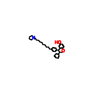 Oc1ccc2c(c1)[C@H](c1ccc(CCCCCCCCCCN3CCCC3)cc1)[C@H](c1ccccc1)CO2